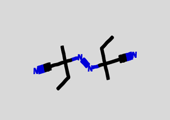 CCC(C)(C#N)/N=N/C(C)(C#N)CC